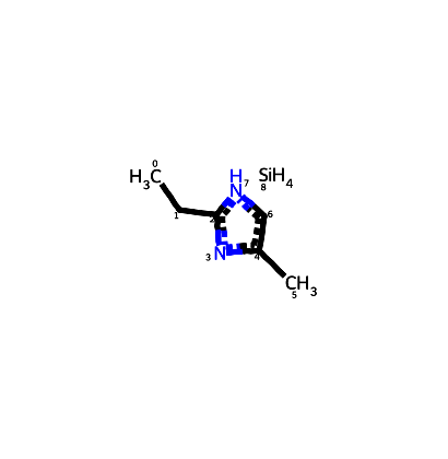 CCc1nc(C)c[nH]1.[SiH4]